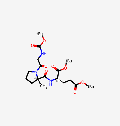 CC(C)(C)OC(=O)CC[C@H](NC(=O)[C@]1(C)CCCN1C(=O)CNC(=O)OC(C)(C)C)C(=O)OC(C)(C)C